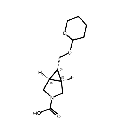 O=C(O)N1C[C@@H]2[C@@H](COC3CCCCO3)[C@@H]2C1